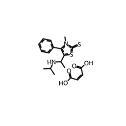 CC(C)NC(C)c1sc(=S)n(C)c1-c1ccccc1.O=C(O)/C=C\C(=O)O